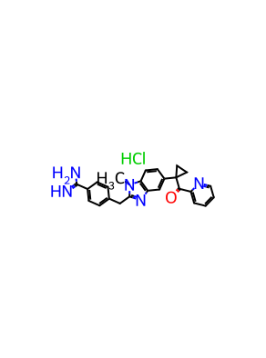 Cl.Cn1c(Cc2ccc(C(=N)N)cc2)nc2cc(C3(C(=O)c4ccccn4)CC3)ccc21